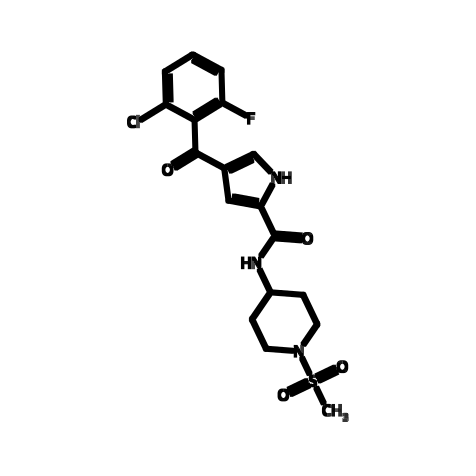 CS(=O)(=O)N1CCC(NC(=O)c2cc(C(=O)c3c(F)cccc3Cl)c[nH]2)CC1